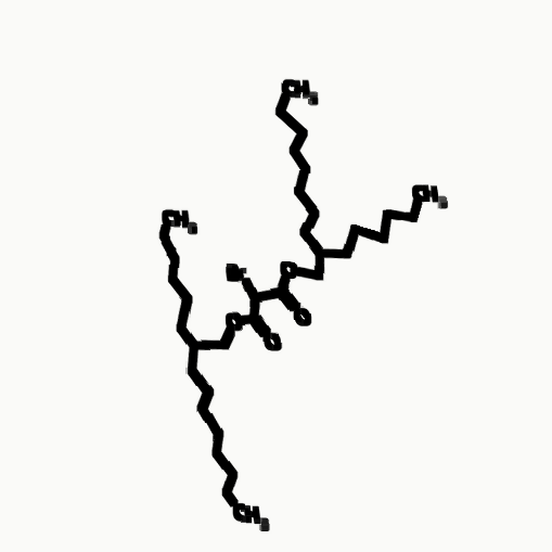 CCCCCCCCC(CCCCCC)COC(=O)C(Br)C(=O)OCC(CCCCCC)CCCCCCCC